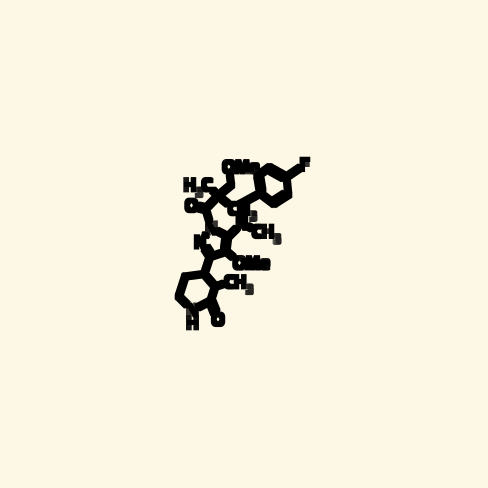 COCC(C)(C)C(=O)n1nc(C2CCNC(=O)C2C)c(OC)c1N(C)Cc1ccc(F)cc1